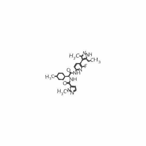 CCc1[nH]nc(C)c1-c1ccc(NC(=O)[C@@H](NC(=O)c2ccnn2C)C2CCC(C)CC2)nc1F